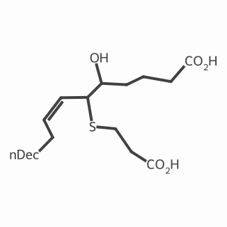 CCCCCCCCCCC/C=C\C(SCCC(=O)O)C(O)CCCC(=O)O